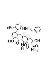 CCCc1ccc(CNCCc2ccccc2)cc1-c1ccc(O)c2c1C[C@H]1C[C@H]3CC(O)=C(C(N)=O)C(=O)[C@@]3(O)C(O)=C1C2=O